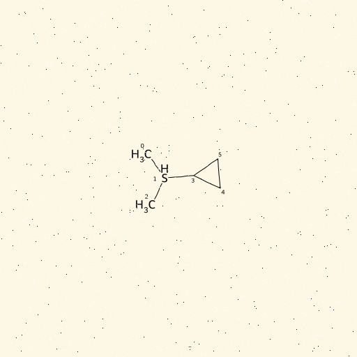 C[SH](C)C1CC1